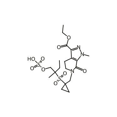 CCOC(=O)c1nn(C)c2c1CCN(CC1(S(=O)(=O)C(C)(CC)COS(=O)(=O)O)CC1)C2=O